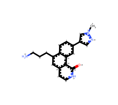 Cn1cc(-c2ccc3c(CCCN)cc4cc[nH]c(=O)c4c3c2)cn1